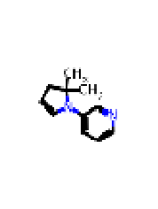 CC1(C)CC=CN1c1cccnc1